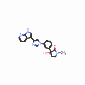 CN1CC[C@](O)(c2cccc(-n3cnc(-c4c[nH]c5ncccc45)c3)c2)C1=O